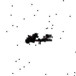 CC[C@H](C)[C@@H]([C@@H](CC(=O)N1CCC[C@H]1[C@H](OC)[C@@H](C)C(=O)N[C@@H](Cc1ccc(OC(=O)NCCCCCC(=O)NOCc2ccc(NC(=O)[C@H](CCCNC(N)=O)NC)cc2)cc1)C(=O)NS(C)(=O)=O)OC)N(C)C(=O)CNC(=O)C(C(C)C)N(C)C